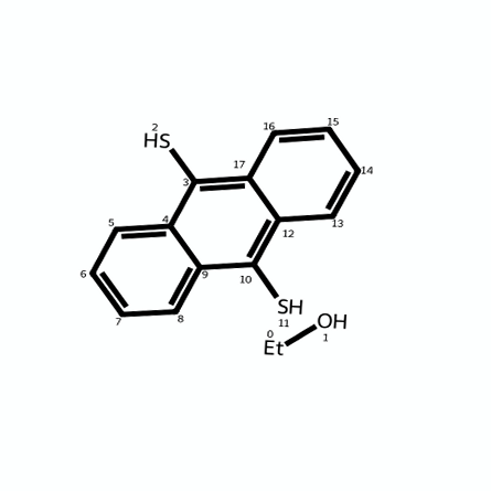 CCO.Sc1c2ccccc2c(S)c2ccccc12